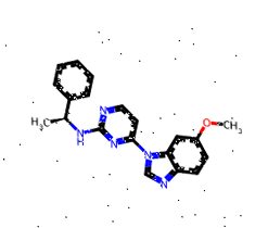 COc1ccc2ncn(-c3ccnc(N[C@@H](C)c4ccccc4)n3)c2c1